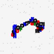 CCN(C)S(=O)(=O)Nc1ccc(F)c(Oc2ccc3ncn(C4CC5(CCN(C6CCC(c7cc8c(cc7F)c(N7CCC(=O)NC7=O)nn8C)CC6)CC5)C4)c(=O)c3c2)c1C#N